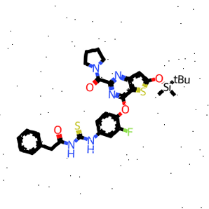 CC(C)(C)[Si](C)(C)Oc1cc2nc(C(=O)N3CCCC3)nc(Oc3ccc(NC(=S)NC(=O)Cc4ccccc4)cc3F)c2s1